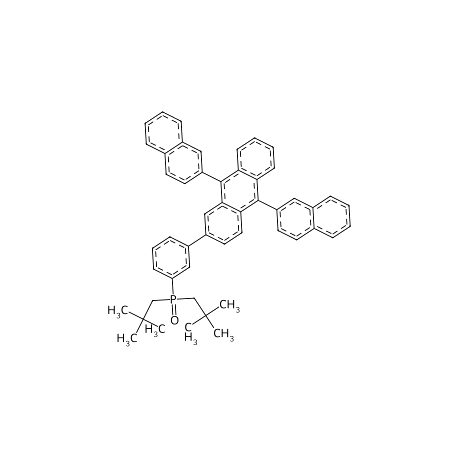 CC(C)(C)CP(=O)(CC(C)(C)C)c1cccc(-c2ccc3c(-c4ccc5ccccc5c4)c4ccccc4c(-c4ccc5ccccc5c4)c3c2)c1